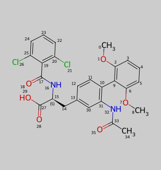 COc1cccc(OC)c1-c1ccc(C[C@H](NC(=O)c2c(Cl)cccc2Cl)C(=O)O)cc1NC(C)=O